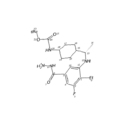 CCc1c(F)cc(C(=O)NN)cc1N[C@@H](C)C1CCC(NC(=O)OC(C)(C)C)CC1